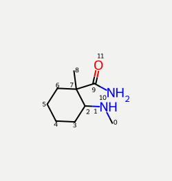 CNC1CCCCC1(C)C(N)=O